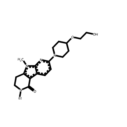 CCN1CCc2c(c3ccc(N4CCC(OCCO)CC4)nc3n2C)C1=O